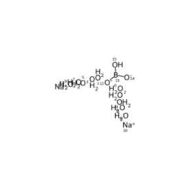 O.O.O.O.O.O.O.O.O.O.[Na+].[Na+].[O-]B([O-])O